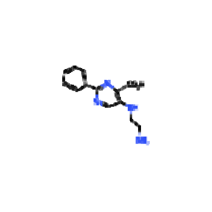 NCCNc1cnc(-c2ccccc2)nc1C(=O)O